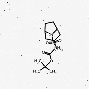 CC(C)(C)OC(=O)NC1CC2CCC(C1)N2S(C)(=O)=O